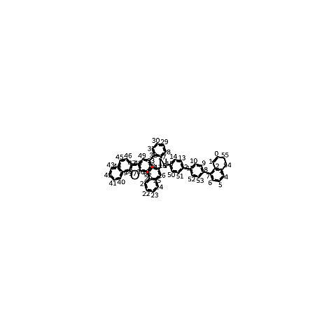 C1=Cc2c(cccc2-c2ccc(-c3ccc(N(c4ccc5ccccc5c4)c4ccccc4-c4ccc5oc6c7ccccc7ccc6c5c4)cc3)cc2)CC1